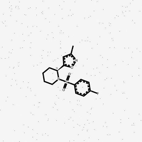 Cc1cc([C@@H]2CCCCN2S(=O)(=O)c2ccc(F)cc2)on1